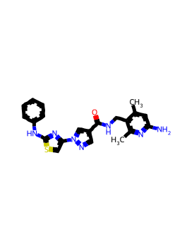 Cc1cc(N)nc(C)c1CNC(=O)c1cnn(-c2csc(Nc3ccccc3)n2)c1